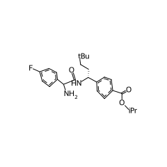 CC(C)OC(=O)c1ccc([C@@H](CCC(C)(C)C)NC(=O)C(N)c2ccc(F)cc2)cc1